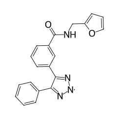 O=C(NCc1ccco1)c1cccc(C2=N[N]N=C2c2ccccc2)c1